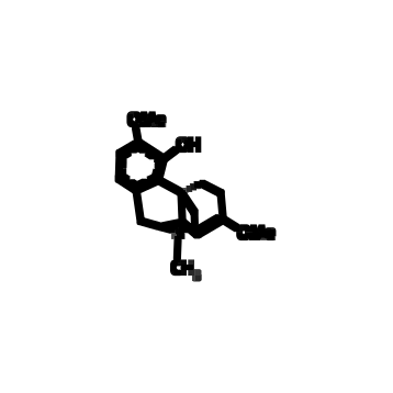 COC1=CC2C3Cc4ccc(OC)c(O)c4[C@@]2(CC1)CCN3C